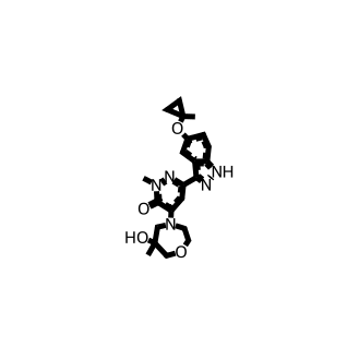 Cn1nc(-c2n[nH]c3ccc(OC4(C)CC4)cc23)cc(N2CCOCC(C)(O)C2)c1=O